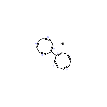 C1=C\C=C/C(C2=C/C=C\C=C/C=C\2)=C\C=C/1.[Ni]